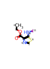 CCOC(=O)c1ncsc1NI